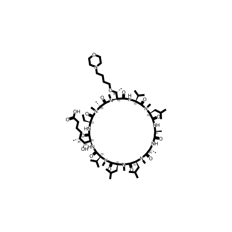 CC[C@@H]1NC(=O)[C@H]([C@H](O)[C@H](C)CCCC(=O)O)NC(=O)[C@H](C(C)C)N(C)C(=O)[C@H](CC(C)C)N(C)C(=O)[C@H](CC(C)C)N(C)C(=O)[C@@H](C)NC(=O)[C@H](C)NC(=O)[C@H](CC(C)C)N(C)C(=O)[C@H](C(C)C)NC(=O)[C@H]([C@@H](C)OCCCCN2CCOCC2)N(C)C(=O)[C@@H](C)N(C)C1=O